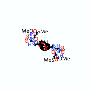 COC(=O)N[C@@H](CCSC)C(=O)N1CN(S(C)(=O)=O)C[C@H]1c1nc(-c2ccc(C3=CC4=CC[C@@H]3C[C@@H](C)[C@@H]3C=CC(=C(c5ccc(-c6c[nH]c([C@@H]7CN(S(C)(=O)=O)CN7C(=O)[C@H](CCSC)NC(=O)OC)n6)cc5)C3)CC4)cc2)c[nH]1